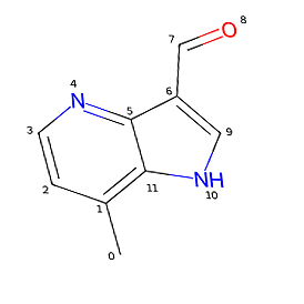 Cc1ccnc2c(C=O)c[nH]c12